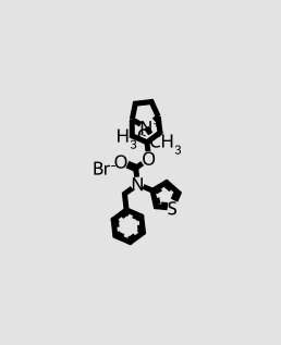 C[N+]1(C)C2CCC1CC(OC(=O)N(Cc1ccccc1)c1ccsc1)C2.[Br-]